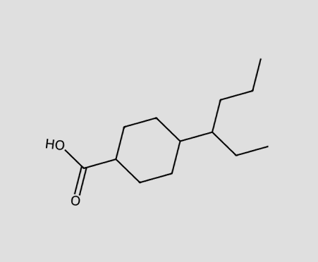 CCCC(CC)C1CCC(C(=O)O)CC1